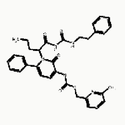 CCCC(C(=O)NC(=O)NCCc1ccccc1)n1c(-c2ccccc2)ccc(NC(=O)OCc2cccc(C)n2)c1=O